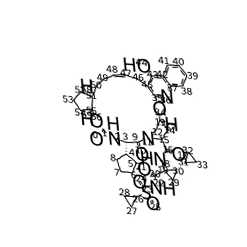 O=C1N[C@@H](C2CCCC2)C(=O)N2C[C@@H](C[C@H]2C(=O)N[C@]2(C(=O)NS(=O)(=O)C3CC3)C[C@H]2C2CC2)Oc2nc3ccccc3c(O)c2CC=CCC[C@@H]2CCC[C@H]2O1